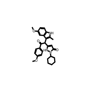 COc1ccc(C(=O)C(c2cc(=O)n(C3CCCCC3)[nH]2)c2c(C)[nH]c3ccc(OC)cc23)cc1